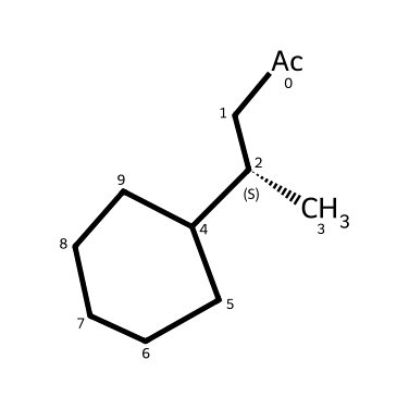 CC(=O)C[C@H](C)C1CCCCC1